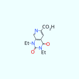 CCn1c(=O)c2cc(C(=O)O)ncc2n(CC)c1=O